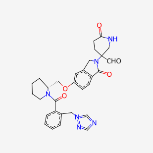 O=CC1(N2Cc3cc(OC[C@H]4CCCCN4C(=O)c4ccccc4Cn4cncn4)ccc3C2=O)CCC(=O)NC1